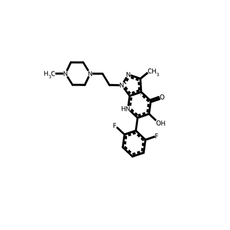 Cc1nn(CCN2CCN(C)CC2)c2[nH]c(-c3c(F)cccc3F)c(O)c(=O)c12